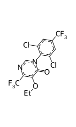 CCOc1c(C(F)(F)F)ncn(-c2c(Cl)cc(C(F)(F)F)cc2Cl)c1=O